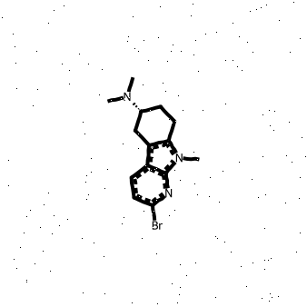 CN(C)[C@@H]1CCc2c(c3ccc(Br)nc3n2C)C1